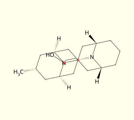 C[C@@H]1C[C@@H]2C[C@H](C1)C[C@@H](N1[C@@H]3CCC[C@H]1C/C(=N\O)C3)C2